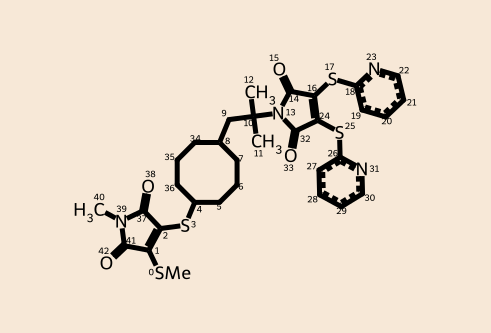 CSC1=C(SC2CCCC(CC(C)(C)N3C(=O)C(Sc4ccccn4)=C(Sc4ccccn4)C3=O)CCC2)C(=O)N(C)C1=O